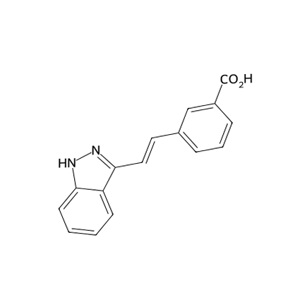 O=C(O)c1cccc(C=Cc2n[nH]c3ccccc23)c1